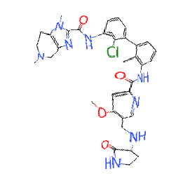 COc1cc(C(=O)Nc2cccc(-c3cccc(NC(=O)c4nc5c(n4C)CCN(C)C5)c3Cl)c2C)ncc1CN[C@@H]1CCNC1=O